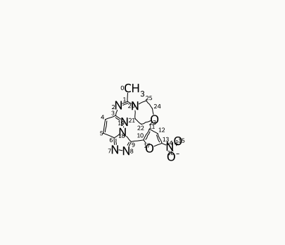 CC(=Nc1ccc2nnc(-c3ccc([N+](=O)[O-])o3)n2n1)N1CCOCC1